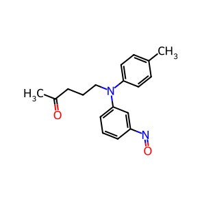 CC(=O)CCCN(c1ccc(C)cc1)c1cccc(N=O)c1